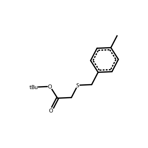 Cc1ccc(CSCC(=O)OC(C)(C)C)cc1